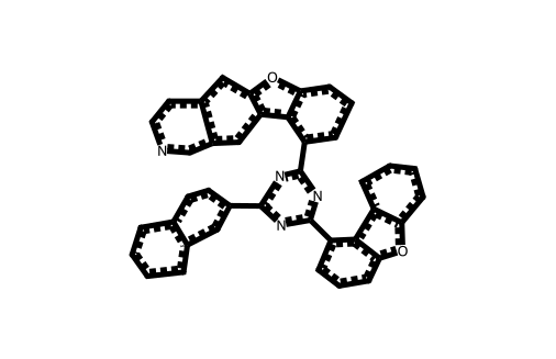 c1ccc2cc(-c3nc(-c4cccc5oc6ccccc6c45)nc(-c4cccc5oc6cc7ccncc7cc6c45)n3)ccc2c1